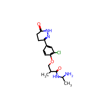 CC(N)NC(=O)C(C)COc1ccc(C2=NNC(=O)CC2)cc1Cl